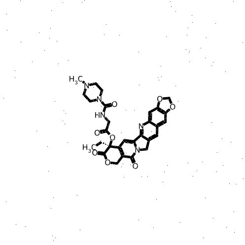 CC[C@@]1(OC(=O)CNC(=O)N2CCN(C)CC2)C(=O)OCc2c1cc1n(c2=O)Cc2cc3cc4c(cc3nc2-1)OCO4